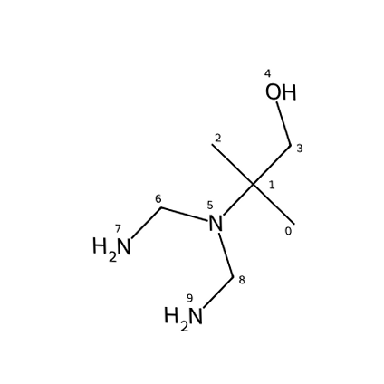 CC(C)(CO)N(CN)CN